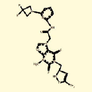 CC1=CC(Cn2c(=O)c3c(ncn3CC(=O)Nc3cccc(N4CC(F)(F)C4)n3)n(C)c2=O)NO1